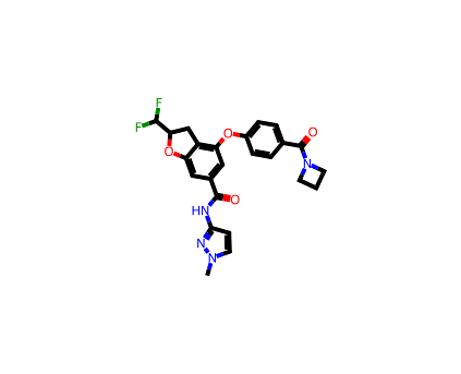 Cn1ccc(NC(=O)c2cc(Oc3ccc(C(=O)N4CCC4)cc3)c3c(c2)OC(C(F)F)C3)n1